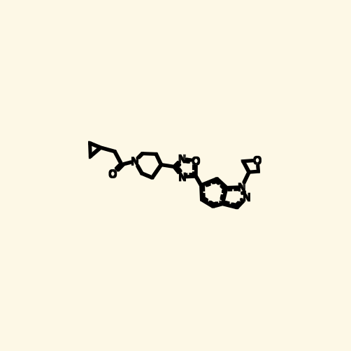 O=C(CC1CC1)N1CCC(c2noc(-c3ccc4cnn(C5COC5)c4c3)n2)CC1